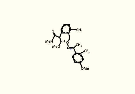 CNC(=O)C(NOC)c1cccc(C)c1CO/N=C(\C)c1ccc(OC)cc1C(F)(F)F